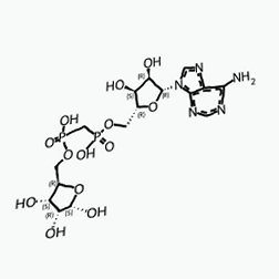 Nc1ncnc2c1ncn2[C@@H]1O[C@H](COP(=O)(O)CP(=O)(O)OC[C@H]2O[C@H](O)[C@H](O)[C@@H]2O)[C@@H](O)[C@H]1O